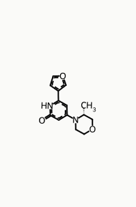 C[C@@H]1COCCN1c1cc(-c2ccoc2)[nH]c(=O)c1